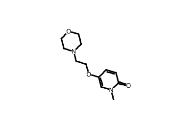 Cn1cc(OCCN2CCOCC2)ccc1=O